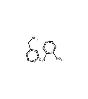 NCc1ccccc1.O=[N+]([O-])c1ccccc1[N+](=O)[O-]